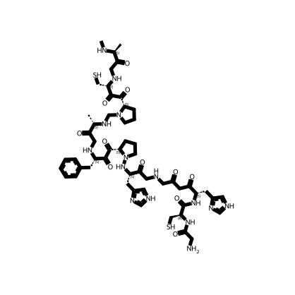 CN[C@@H](C)C(=O)CN[C@@H](CS)C(=O)C(=O)[C@@H]1CCCN1CN[C@@H](C)C(=O)CN[C@@H](Cc1ccccc1)C(=O)C(=O)[C@@H]1CCCN1N[C@@H](Cc1c[nH]cn1)C(=O)CNCC(=O)CC(=O)[C@H](Cc1c[nH]cn1)NC(=O)[C@H](CS)NC(=O)CN